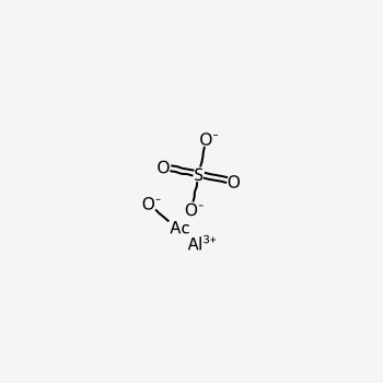 CC(=O)[O-].O=S(=O)([O-])[O-].[Al+3]